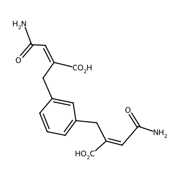 NC(=O)/C=C(\Cc1cccc(C/C(=C\C(N)=O)C(=O)O)c1)C(=O)O